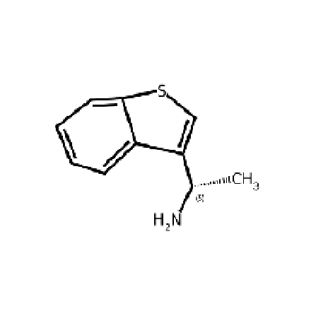 C[C@H](N)c1csc2ccccc12